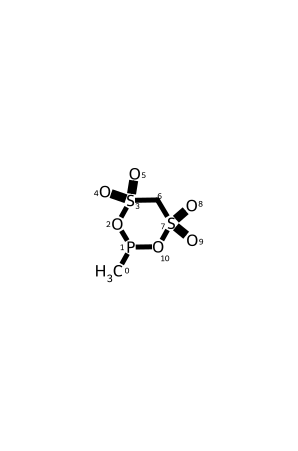 CP1OS(=O)(=O)CS(=O)(=O)O1